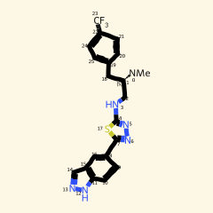 CN[C@H](CNc1nnc(-c2ccc3[nH]ncc3c2)s1)Cc1ccc(C(F)(F)F)cc1